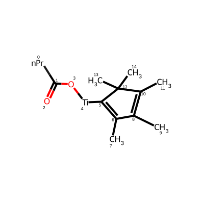 CCCC(=O)[O][Ti][C]1=C(C)C(C)=C(C)C1(C)C